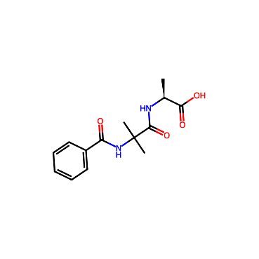 C[C@H](NC(=O)C(C)(C)NC(=O)c1ccccc1)C(=O)O